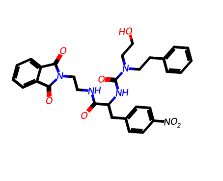 O=C(NCCN1C(=O)c2ccccc2C1=O)C(Cc1ccc([N+](=O)[O-])cc1)NC(=O)N(CCO)CCc1ccccc1